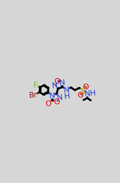 CC(C)NS(=O)(=O)CCCNc1nonc1-c1noc(=O)n1-c1ccc(F)c(Br)c1